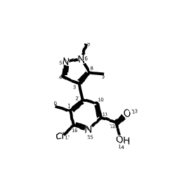 Cc1c(-c2cnn(C)c2C)cc(C(=O)O)nc1Cl